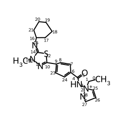 CC[N+]1(NC(=O)c2ccc(-c3nn(C)c(=NC4CCCCC4)s3)cc2)C=CC=N1